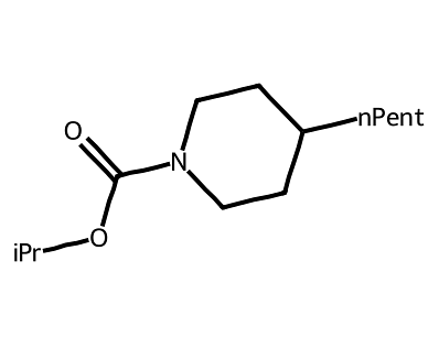 CCCCCC1CCN(C(=O)OC(C)C)CC1